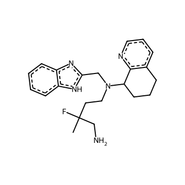 CC(F)(CN)CCN(Cc1nc2ccccc2[nH]1)C1CCCc2cccnc21